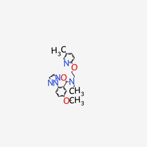 CCN(CCOc1ccc(C)cn1)C(=O)c1cc(OC)ccc1-n1nccn1